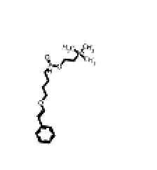 C[N+](C)(C)CCO[PH](=O)CCCCOC=Cc1ccccc1